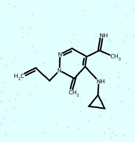 C=CCN1N=CC(C(C)=N)=C(NC2CC2)C1=C